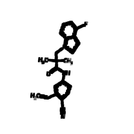 C=Cc1cc(NC(=O)C(C)(C)Cn2ccc3c(F)cccc32)ccc1C#N